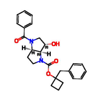 O=C(OC1(Cc2ccccc2)CCC1)N1CC[C@@H]2[C@H]1[C@@H](O)CN2C(=O)c1ccccc1